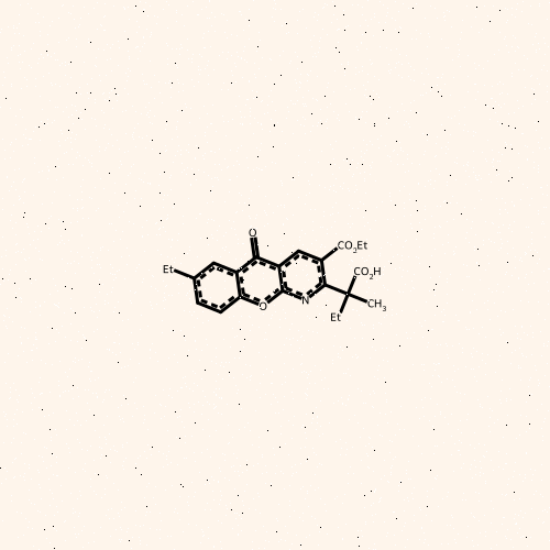 CCOC(=O)c1cc2c(=O)c3cc(CC)ccc3oc2nc1C(C)(CC)C(=O)O